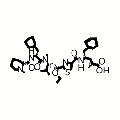 CCO[C@H](C[C@H](C(C)C)N(C)C(=O)[C@H](CC1CCCCC1)NC(=O)[C@H]1CCCCN1C)c1nc(C(=O)N[C@@H](Cc2ccccc2)C[C@H](C)C(=O)O)cs1